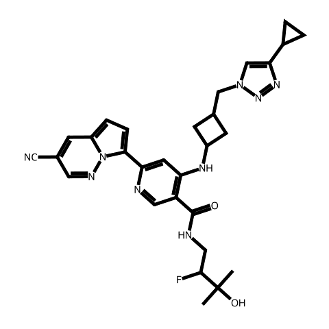 CC(C)(O)C(F)CNC(=O)c1cnc(-c2ccc3cc(C#N)cnn23)cc1NC1CC(Cn2cc(C3CC3)nn2)C1